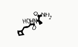 NC(=O)C1(NC(=O)C(O)[CH]CC2CCC2)CC1